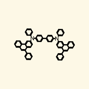 c1ccc(-c2cc3ccccc3c3cc(N(c4ccccc4)c4ccc(-c5ccc(N(c6ccccc6)c6ccc7c(-c8ccccc8)cc8ccccc8c7c6)cc5)cc4)ccc23)cc1